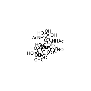 CC(=O)NC1C(O[C@@H]2C(C(=O)O)OC(OC3C(NC(C)=O)C(OCC4O[C@H](C=O)C(O)C4OC4OC(C(O)CO)[C@@H](O)C(O)C4O)OC(C)[C@@H]3N(C)N=O)C(NC(C)=O)C2C)OC(CO)[C@@H](O)C1O